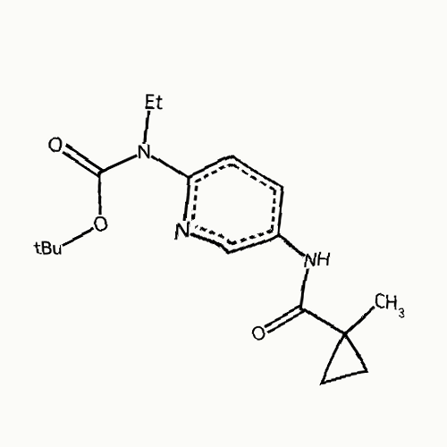 CCN(C(=O)OC(C)(C)C)c1ccc(NC(=O)C2(C)CC2)cn1